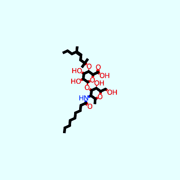 CCCCCCCCC(=O)NC1C(C)OC(CO)[C@@H](O)C1O[C@@H]1OC(C(=O)O)[C@@H](OC(C)(C)C/C=C(/C)CCC)C(O)C1O